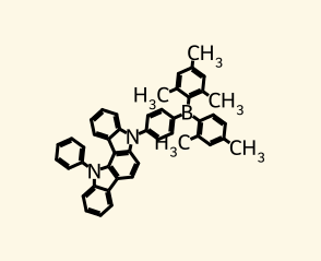 Cc1ccc(B(c2ccc(-n3c4ccccc4c4c3ccc3c5ccccc5n(-c5ccccc5)c34)cc2)c2c(C)cc(C)cc2C)c(C)c1